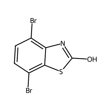 Oc1nc2c(Br)ccc(Br)c2s1